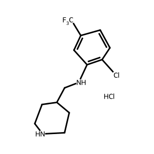 Cl.FC(F)(F)c1ccc(Cl)c(NCC2CCNCC2)c1